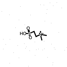 C[N+](C)(C)CCS(=O)(=O)O